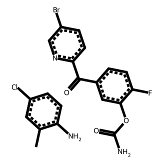 Cc1cc(Cl)ccc1N.NC(=O)Oc1cc(C(=O)c2ccc(Br)cn2)ccc1F